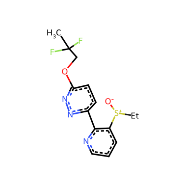 CC[S+]([O-])c1cccnc1-c1ccc(OCC(C)(F)F)nn1